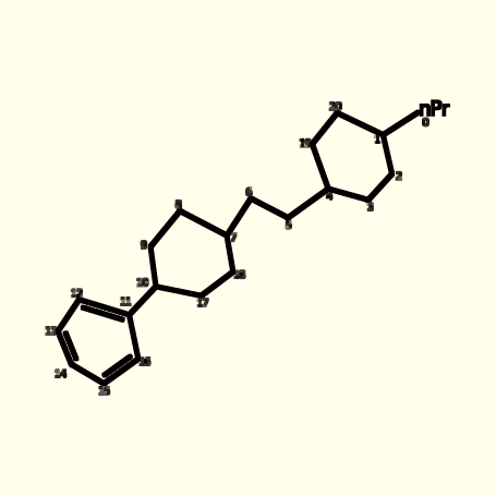 CCCC1CCC(CCC2CCC(c3ccccc3)CC2)CC1